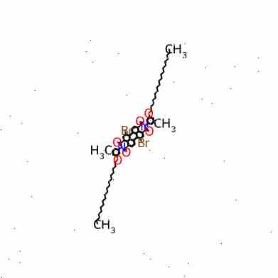 CCCCCCCCCCCCCCCCCCCCOc1cc(C)cc(N2C(=O)c3ccc4c5c(Br)cc6c7c(ccc(c8c(Br)cc(c3c48)C2=O)c75)C(=O)N(c2cc(C)cc(OCCCCCCCCCCCCCCCCCCCC)c2)C6=O)c1